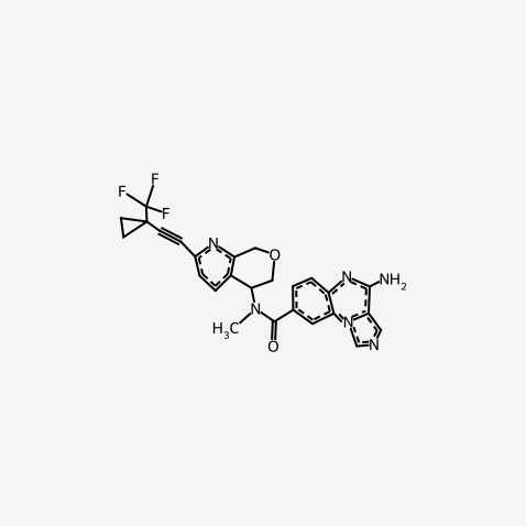 CN(C(=O)c1ccc2nc(N)c3cncn3c2c1)C1COCc2nc(C#CC3(C(F)(F)F)CC3)ccc21